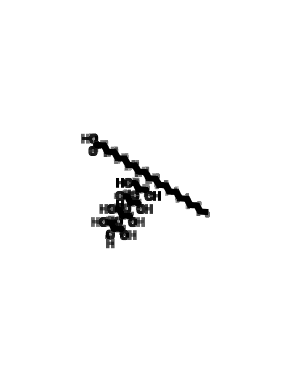 CCCCCCCCCCCCCCCCCCCCCC(=O)O.OCC(O)CO.OCC(O)CO.OCC(O)CO.OCC(O)CO